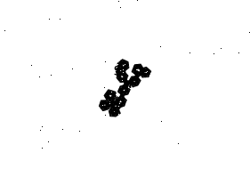 c1ccc(C2(c3ccccc3)c3ccccc3-c3ccc(-c4ccc(N(c5cccc(-c6cccc7ccccc67)c5)c5ccc6sc7ccccc7c6c5)cc4)cc32)cc1